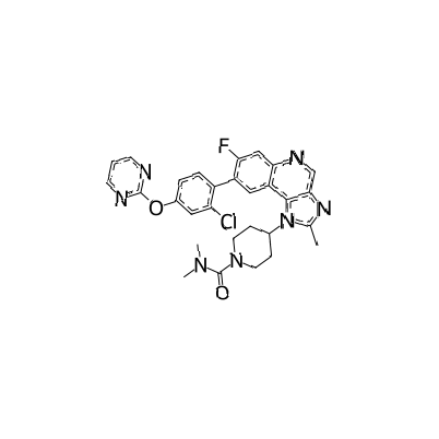 Cc1nc2cnc3cc(F)c(-c4ccc(Oc5ncccn5)cc4Cl)cc3c2n1C1CCN(C(=O)N(C)C)CC1